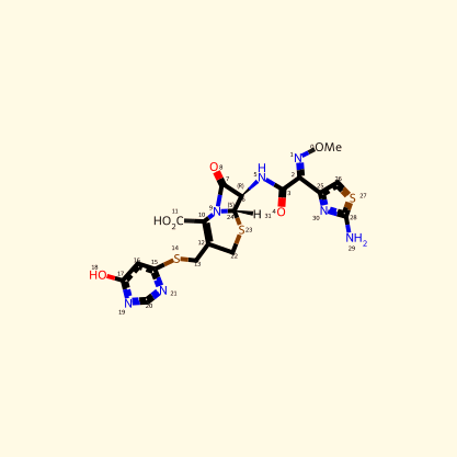 CON=C(C(=O)N[C@@H]1C(=O)N2C(C(=O)O)=C(CSc3cc(O)ncn3)CS[C@@H]12)c1csc(N)n1